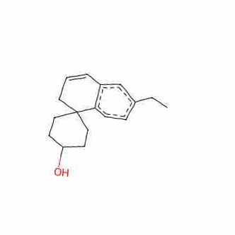 CCc1ccc2c(c1)C=CCC21CCC(O)CC1